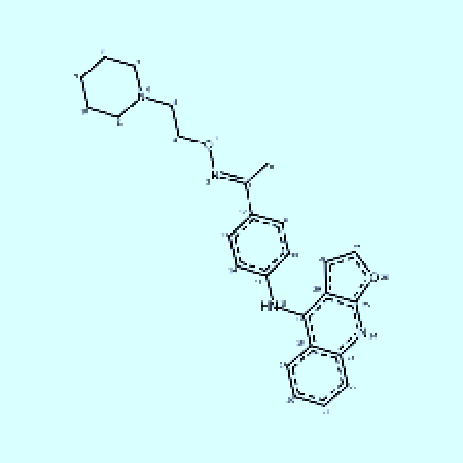 CC(=NOCCN1CCCCC1)c1ccc(Nc2c3ccccc3nc3occc23)cc1